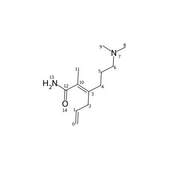 C=CCC(CCCN(C)C)=C(C)C(N)=O